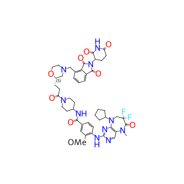 COc1cc(C(=O)NC2CCN(C(=O)CC[C@H]3CN(Cc4cccc5c4C(=O)N(C4CCC(=O)NC4=O)C5=O)CCO3)CC2)ccc1Nc1ncc2c(n1)N(C1CCCC1)CC(F)(F)C(=O)N2C